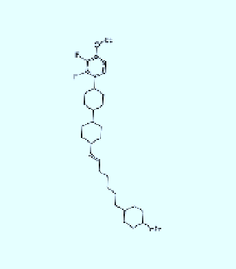 CCCC1CCC(CCCCC/C=C/C2CCC(C3CCC(c4ccc(OCC)c(F)c4F)CC3)CC2)CC1